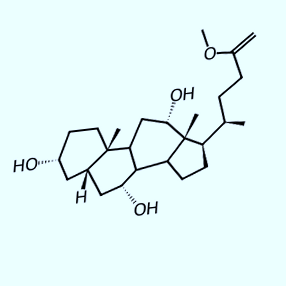 C=C(CC[C@@H](C)[C@H]1CCC2C3C(C[C@H](O)[C@@]21C)[C@@]1(C)CC[C@@H](O)C[C@H]1C[C@H]3O)OC